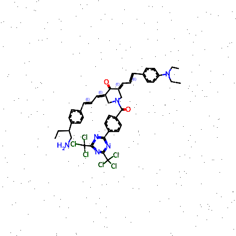 CCC(CN)c1ccc(/C=C/C=C2\CN(C(=O)c3ccc(-c4nc(C(Cl)(Cl)Cl)nc(C(Cl)(Cl)Cl)n4)cc3)C/C(=C\C=C\c3ccc(N(CC)CC)cc3)C2=O)cc1